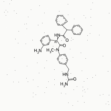 CN(C(=O)[C@H](NC(=O)C(c1ccccc1)c1ccccc1)c1cccc(N)c1)c1ccc(CNC(N)=O)cc1